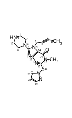 CC#CCn1c(N2CCNCC2)nc2nc(Sc3nccs3)n(C)c(=O)c21